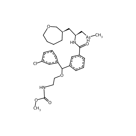 COC(=O)NCCOC(c1cccc(Cl)c1)c1cccc(C(=O)N[C@H](C[AsH]C)C[C@H]2CCCCOC2)c1